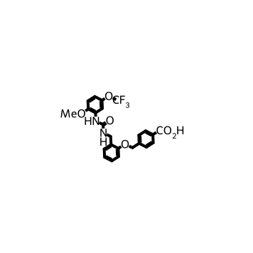 COc1ccc(OC(F)(F)F)cc1NC(=O)NCc1ccccc1OCc1ccc(C(=O)O)cc1